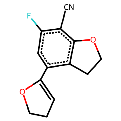 N#Cc1c(F)cc(C2=CCCO2)c2c1OCC2